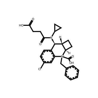 O=C(O)CCC(=O)N(C1CC1)[C@@H]1c2ccc(Cl)cc2[N+](Cc2ccccc2)(C(=O)O)[C@@H]2CC[C@@H]12